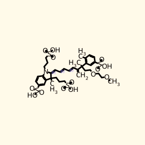 C=C(/C=C/C=C/C=C1/N(CCCS(=O)(=O)O)c2ccc(S(=O)(=O)O)cc2C1(C)CCCS(=O)(=O)O)C(C)(CCOCCOC)c1cc(S(=O)(=O)O)ccc1C